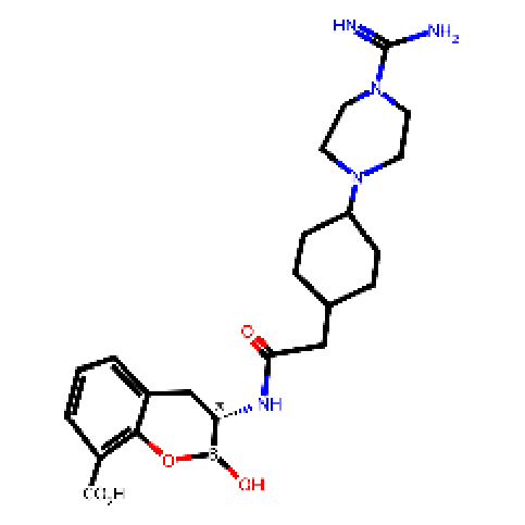 N=C(N)N1CCN(C2CCC(CC(=O)N[C@H]3Cc4cccc(C(=O)O)c4OB3O)CC2)CC1